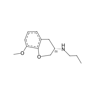 CCCN[C@@H]1COc2c(cccc2OC)C1